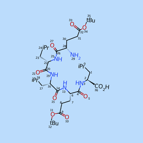 CC(C)C[C@H](NC(=O)[C@H](CCC(=O)OC(C)(C)C)NC(=O)[C@H](CC(C)C)NC(=O)[C@H](CC(C)C)NC(=O)[C@@H](N)CCC(=O)OC(C)(C)C)C(=O)O